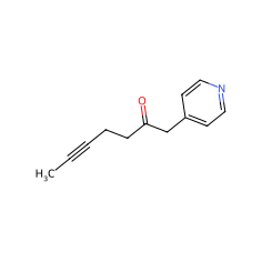 CC#CCCC(=O)Cc1ccncc1